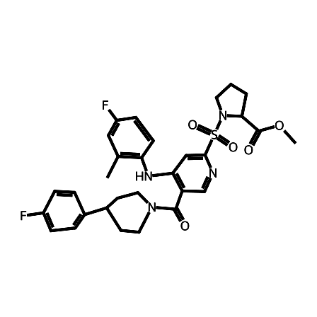 COC(=O)C1CCCN1S(=O)(=O)c1cc(Nc2ccc(F)cc2C)c(C(=O)N2CCC(c3ccc(F)cc3)CC2)cn1